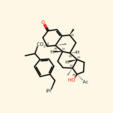 CC(=O)[C@@]1(O)CC[C@H]2[C@@H]3C[C@H](C)C4=CC(=O)CC[C@]4(C)[C@H]3CC[C@@]21C.CC(C)Cc1ccc(C(C)C(=O)O)cc1